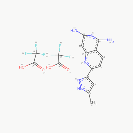 Cc1cc(-c2ccc3c(N)nc(N)cc3n2)n[nH]1.O=C(O)C(F)(F)F.O=C(O)C(F)(F)F